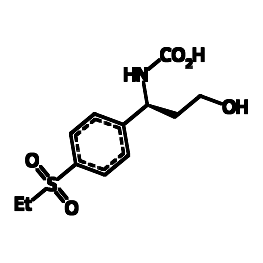 CCS(=O)(=O)c1ccc([C@H](CCO)NC(=O)O)cc1